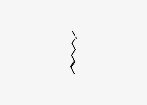 [CH2]SCCCC=CC